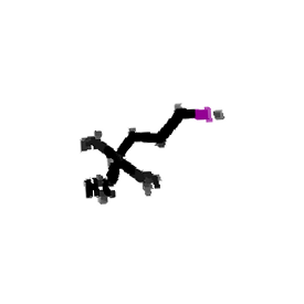 CC(C)[Si](C)(CCCI)C(C)C